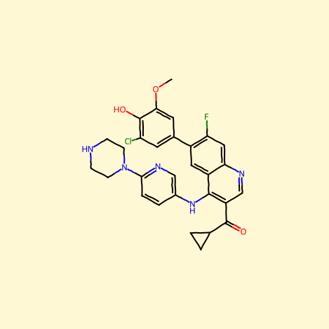 COc1cc(-c2cc3c(Nc4ccc(N5CCNCC5)nc4)c(C(=O)C4CC4)cnc3cc2F)cc(Cl)c1O